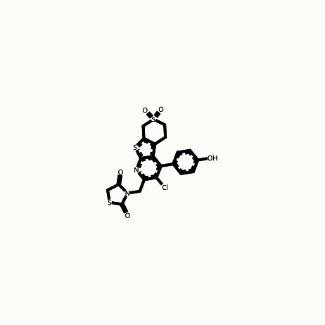 O=C1CSC(=O)N1Cc1nc2sc3c(c2c(-c2ccc(O)cc2)c1Cl)CCS(=O)(=O)C3